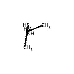 CCCCCCCCCCCCC(O)CN(CCCCS)CC(O)CCCCCCCCCCCC